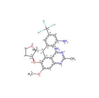 COc1cc2nc(C)nc(N)c2c([C@H](C)c2cc(N)cc(C(F)(F)F)c2)c1O[C@H]1CCOC1